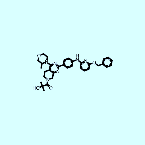 CC1COCCN1c1nc(-c2ccc(Nc3cccc(OCc4ccccc4)n3)cc2)nc2c1CCN(C(=O)C(C)(C)O)C2